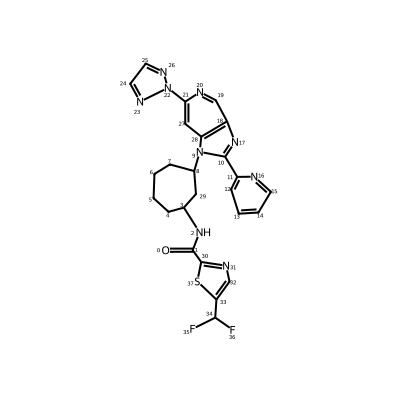 O=C(NC1CCCCC(n2c(-c3ccccn3)nc3cnc(-n4nccn4)cc32)C1)c1ncc(C(F)F)s1